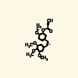 C#CC(=O)Oc1cc(/C=C\c2cc(OC)c(OC)c(OC)c2)ccc1OC